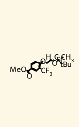 COC(=O)c1ccc(OCCO[Si](C)(C)C(C)(C)C)c(C(F)(F)F)c1